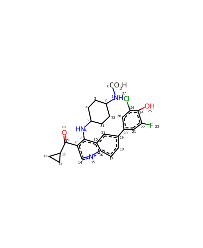 O=C(O)NC1CCC(Nc2c(C(=O)C3CC3)cnc3ccc(-c4cc(F)c(O)c(Cl)c4)cc23)CC1